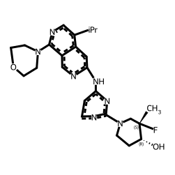 CC(C)c1cnc(N2CCOCC2)c2cnc(Nc3ccnc(N4CC[C@@H](O)[C@@](C)(F)C4)n3)cc12